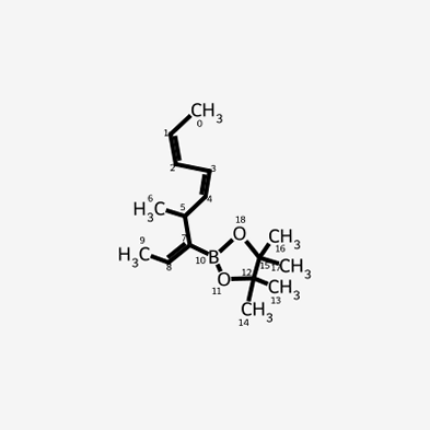 C/C=C\C=C/C(C)/C(=C\C)B1OC(C)(C)C(C)(C)O1